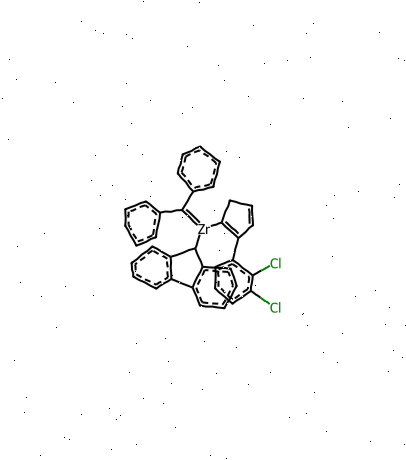 Clc1cccc(C2=[C]([Zr](=[C](c3ccccc3)c3ccccc3)[CH]3c4ccccc4-c4ccccc43)CC=C2)c1Cl